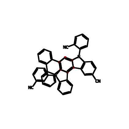 N#Cc1cccc(-n2c3ccccc3c3cccc(-c4ccccc4-c4ccccc4-c4ccc5c(c4)c4cc(C#N)ccc4n5-c4ccccc4C#N)c32)c1